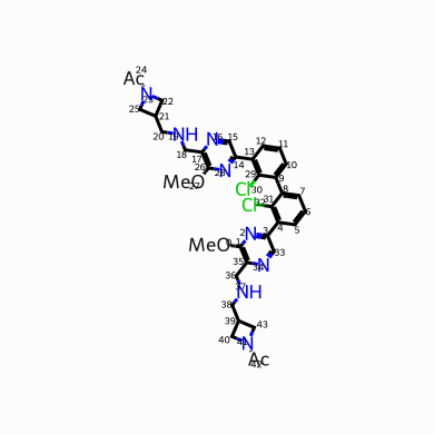 COc1nc(-c2cccc(-c3cccc(-c4cnc(CNCC5CN(C(C)=O)C5)c(OC)n4)c3Cl)c2Cl)cnc1CNCC1CN(C(C)=O)C1